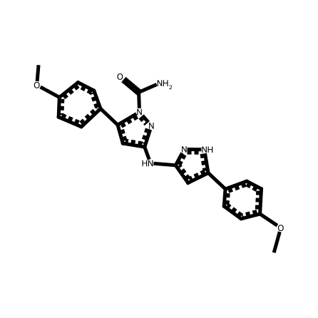 COc1ccc(-c2cc(Nc3cc(-c4ccc(OC)cc4)n(C(N)=O)n3)n[nH]2)cc1